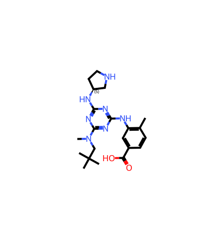 Cc1ccc(C(=O)O)cc1Nc1nc(N[C@H]2CCNC2)nc(N(C)CC(C)(C)C)n1